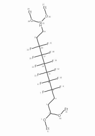 CCOC(CCC(F)(F)C(F)(F)C(F)(F)C(F)(F)C(F)(F)C(F)(F)CC[SiH](OCC)OCC)OCC